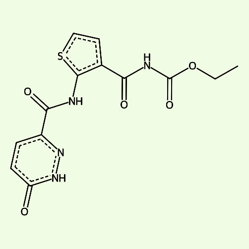 CCOC(=O)NC(=O)c1ccsc1NC(=O)c1ccc(=O)[nH]n1